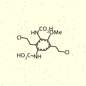 COc1c(CCCl)cc(NC(=O)O)c(CCCl)c1NC(=O)O